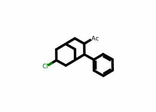 CC(=O)C1CC2CC(Cl)CC(C2)C1c1ccccc1